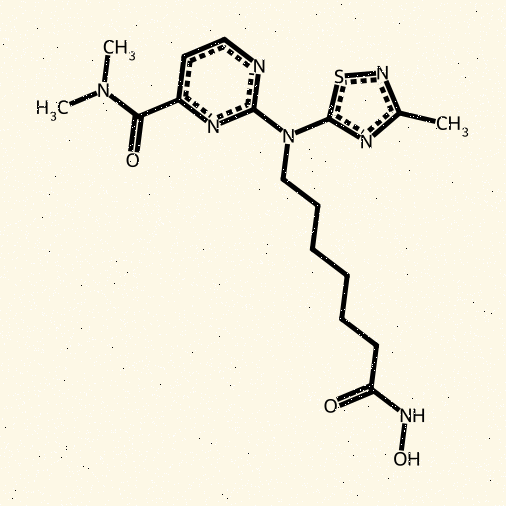 Cc1nsc(N(CCCCCCC(=O)NO)c2nccc(C(=O)N(C)C)n2)n1